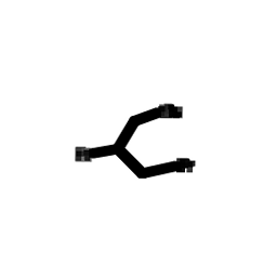 [CH2]CC(CC(C)C)CC(C)(C)C